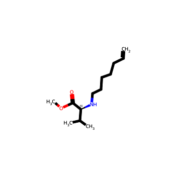 C=CCCCCCN[C@H](C(=O)OC)C(C)C